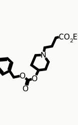 CCOC(=O)CCCN1CCC(OC(=O)OCc2ccccc2)CC1